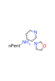 CCCCCN.c1ccncc1.c1cocn1